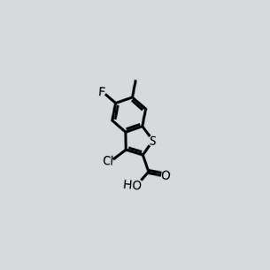 Cc1cc2sc(C(=O)O)c(Cl)c2cc1F